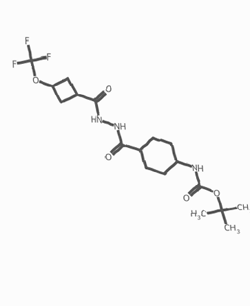 CC(C)(C)OC(=O)NC1CCC(C(=O)NNC(=O)C2CC(OC(F)(F)F)C2)CC1